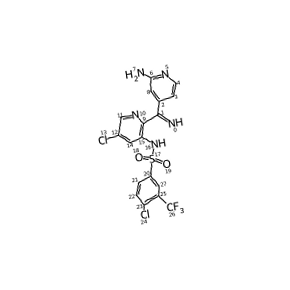 N=C(c1ccnc(N)c1)c1ncc(Cl)cc1NS(=O)(=O)c1ccc(Cl)c(C(F)(F)F)c1